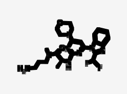 C[C@H](Nc1nc(N2CCOCC2)cc(-n2c(C(F)F)nc3ccccc32)n1)C(=O)N(C)CCCN